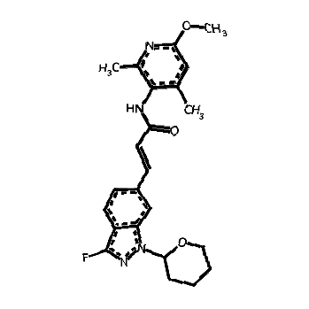 COc1cc(C)c(NC(=O)/C=C/c2ccc3c(F)nn(C4CCCCO4)c3c2)c(C)n1